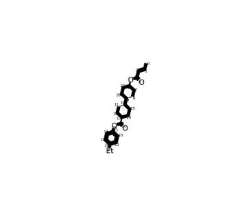 CC=CC(=O)O[C@H]1CC[C@H]([C@H]2CC[C@H](C(=O)Oc3ccc(CC)cc3)CC2)CC1